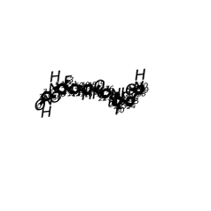 O=C1CC[C@H](Nc2ccc(N3CCC(N4CCC(C(=O)NC5CCC(Nc6ncc(F)c(-c7cccc(-c8ccc[nH]c8=O)c7)n6)CC5)CC4)CC3)c(F)c2)C(=O)N1